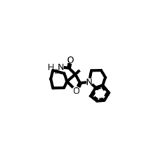 CC1(C(C)(C(N)=O)C(=O)N2CCCc3ccccc32)CCCCC1